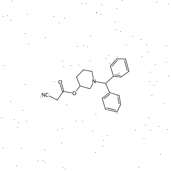 N#CCC(=O)OC1CCCN(C(c2ccccc2)c2ccccc2)C1